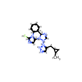 CC1CC1Cc1cnnn1N1C=NC2c3ccccc3-n3c(cnc3F)N21